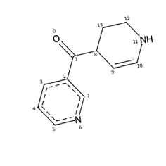 O=C(c1cccnc1)C1C=CNCC1